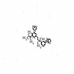 CC(C)(C)c1cc(-n2cnnc2)cc(CCC(C)(C)c2cncc(-n3nccn3)c2)n1